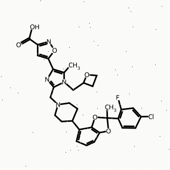 Cc1c(-c2cc(C(=O)O)no2)nc(CN2CCC(c3cccc4c3OC(C)(c3ccc(Cl)cc3F)O4)CC2)n1CC1CCO1